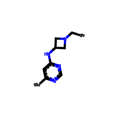 CC(C)CN1CC(Nc2cc(C(C)(C)C)ncn2)C1